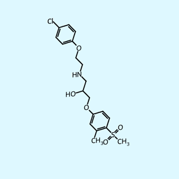 Cc1cc(OCC(O)CNCCOc2ccc(Cl)cc2)ccc1S(C)(=O)=O